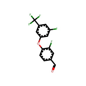 O=Cc1ccc(Oc2cc(F)cc(C(F)(F)F)c2)c(F)c1